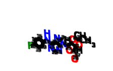 CC1(C)O[C@@H]2[C@@H](O1)[C@H](n1cnc3c(Nc4ccc(F)cc4)ncnc31)O[C@H]2C=O